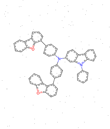 c1ccc(-n2c3ccccc3c3ccc(N(c4ccc(-c5cccc6c5oc5ccccc56)cc4)c4ccc(-c5cccc6oc7ccccc7c56)cc4)cc32)cc1